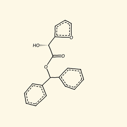 O=C(OC(c1ccccc1)c1ccccc1)[C@H](O)c1ccco1